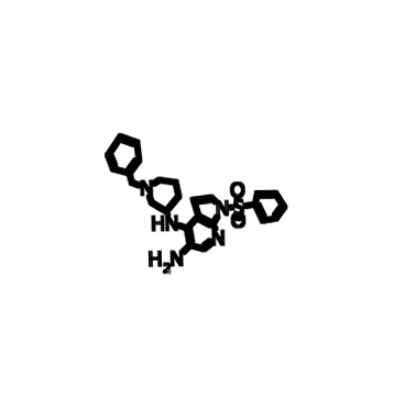 Nc1cnc2c(ccn2S(=O)(=O)c2ccccc2)c1N[C@@H]1CCCN(Cc2ccccc2)C1